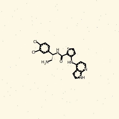 NC[C@@H](NC(=O)c1sccc1Nc1ccnc2[nH]ccc12)c1ccc(Cl)c(Cl)c1